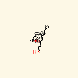 CC(C)CCCCCC(O)CCCO.CCC[CH2][Sn+2][CH2]CCC.O=C([O-])C=CC(=O)[O-]